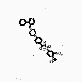 CC(C)Nc1ccc(S(=O)(=O)NC(=O)c2ccc(N3CCN(Cc4ccccc4-c4ccccc4)CC3)cc2)cc1[N+](=O)[O-]